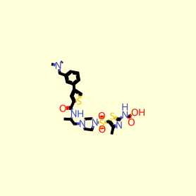 Cc1nc(NC(=O)O)sc1S(=O)(=O)N1CCN(CC(C)NC(=O)c2cc(-c3cccc(CN(C)C)c3)cs2)CC1